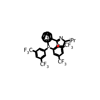 CC(C)C1COC([C]23[CH]4[CH]5[CH]6[C]2(P(c2cc(C(F)(F)F)cc(C(F)(F)F)c2)c2cc(C(F)(F)F)cc(C(F)(F)F)c2)[Fe]54632789[CH]3[CH]2[CH]7[CH]8[CH]39)=N1